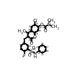 Cc1c(Cc2ccc(F)c(S(=O)(=O)Nc3ccccc3)c2)c(=O)oc2cc(OC(=O)N(C)C)c(Cl)cc12